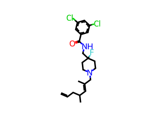 C=CCC(C)/C=C(\C)CN1CCC(F)(CNC(=O)c2cc(Cl)cc(Cl)c2)CC1